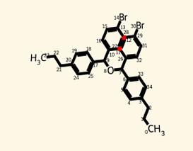 CCCc1ccc(C(OC(c2ccc(Br)cc2)c2ccc(CCC)cc2)c2ccc(Br)cc2)cc1